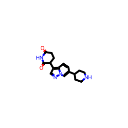 O=C1CCC(c2cnn3cc(C4CCNCC4)ccc23)C(=O)N1